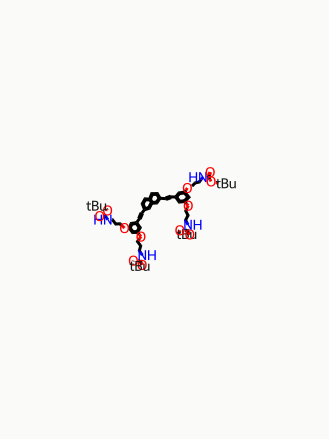 CC(C)(C)OC(=O)NCCCOc1cc(C#Cc2ccc3ccc(C#Cc4cc(OCCCNC(=O)OC(C)(C)C)cc(OCCCNC(=O)OC(C)(C)C)c4)cc3c2)cc(OCCCNC(=O)OC(C)(C)C)c1